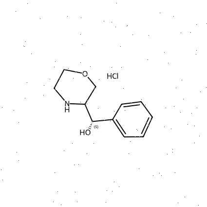 Cl.O[C@@H](c1ccccc1)C1COCCN1